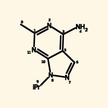 Cc1nc(N)c2cnn(C(C)C)c2n1